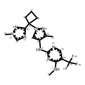 CNc1nc(Nc2cn(C3(c4ncn(C)n4)CCC3)nc2C)ncc1C(F)(F)F